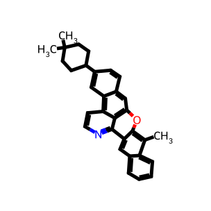 Cc1c2c(cc3ccccc13)-c1nccc3c1c(cc1ccc(C4CCC(C)(C)CC4)cc13)O2